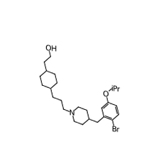 CC(C)Oc1ccc(Br)c(CC2CCN(CCCC3CCC(CCO)CC3)CC2)c1